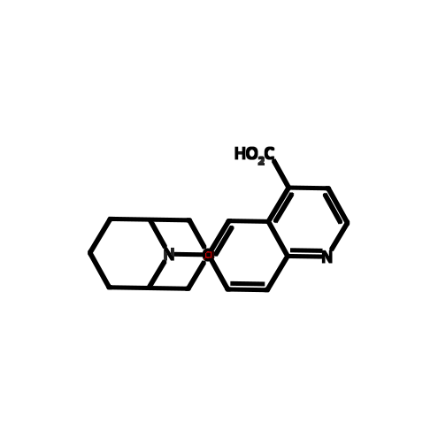 O=C(O)c1ccnc2ccc(N3C4CCCC3COC4)cc12